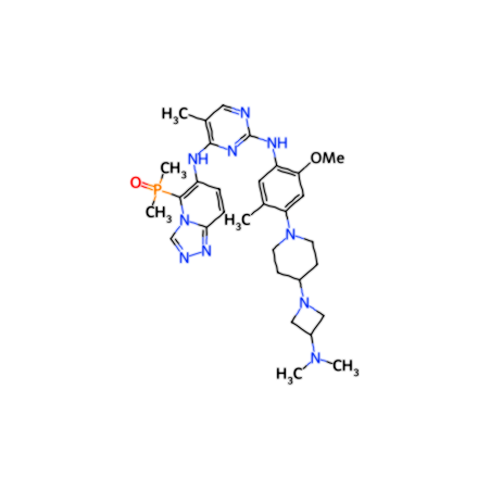 COc1cc(N2CCC(N3CC(N(C)C)C3)CC2)c(C)cc1Nc1ncc(C)c(Nc2ccc3nncn3c2P(C)(C)=O)n1